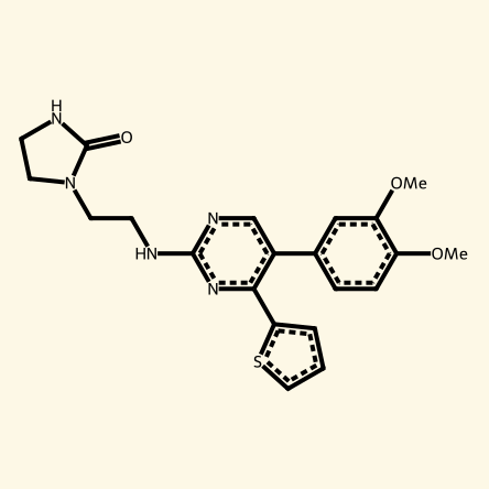 COc1ccc(-c2cnc(NCCN3CCNC3=O)nc2-c2cccs2)cc1OC